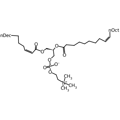 CCCCCCCC/C=C\CCCCCCCC(=O)O[C@H](COC(=O)/C=C\CCCCCCCCCCCCC)COP(=O)([O-])OCC[N+](C)(C)C